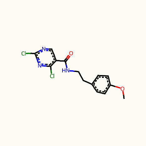 COc1ccc(CCNC(=O)c2cnc(Cl)nc2Cl)cc1